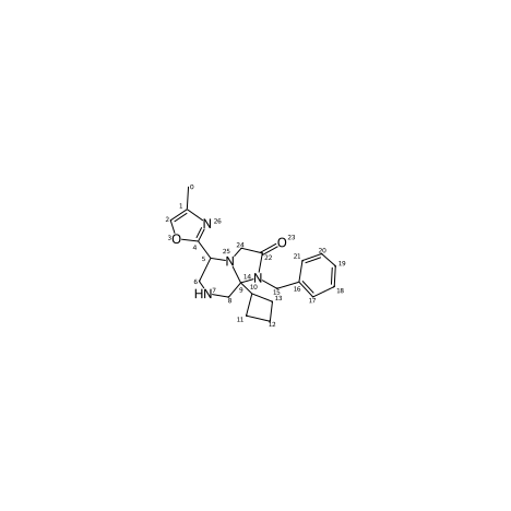 Cc1coc(C2CNCC3(C4CCC4)N(Cc4ccccc4)C(=O)CN23)n1